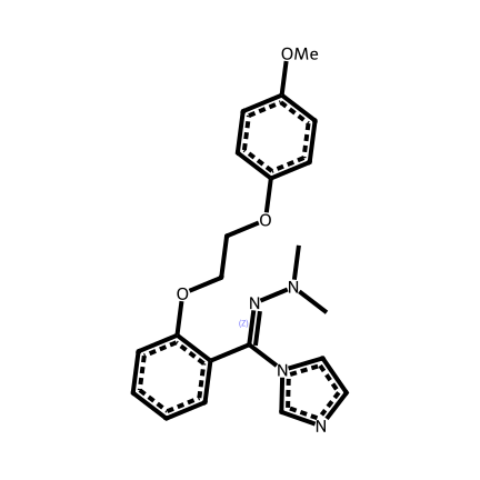 COc1ccc(OCCOc2ccccc2/C(=N/N(C)C)n2ccnc2)cc1